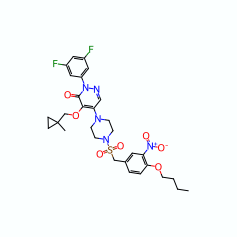 CCCCOc1ccc(CS(=O)(=O)N2CCN(c3cnn(-c4cc(F)cc(F)c4)c(=O)c3OCC3(C)CC3)CC2)cc1[N+](=O)[O-]